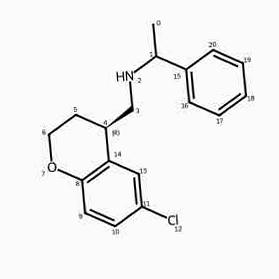 CC(NC[C@@H]1CCOc2ccc(Cl)cc21)c1ccccc1